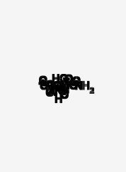 CON=C(C(=O)NC1C(=O)N2C=C(COC(N)=O)C(C(=O)O)S[C@H]12)c1cccc(OC(C)=O)c1